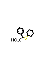 O=C(O)C(SC1CCCCC1)c1ccccc1